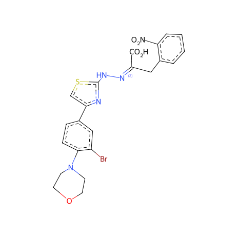 O=C(O)/C(Cc1ccccc1[N+](=O)[O-])=N\Nc1nc(-c2ccc(N3CCOCC3)c(Br)c2)cs1